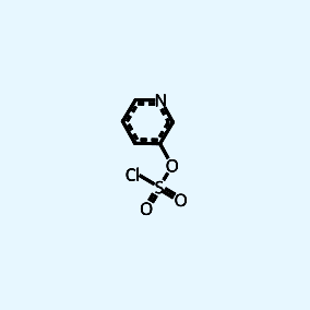 O=S(=O)(Cl)Oc1cccnc1